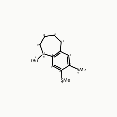 CSc1cc2c(cc1SC)N(C(C)(C)C)CCCC2